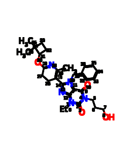 CCn1c(=O)n(CCCO)c(=O)c2c1nc(C1=C(C)N=C(OC3CCC3(C)C)CC1)n2CC1=C=C=CC=C1